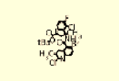 Cc1cc2c(C(=O)NC(C)(CCC(=O)OC(C)(C)C)c3c(F)ccc(F)c3Cl)c(Br)ccc2nc1Cl